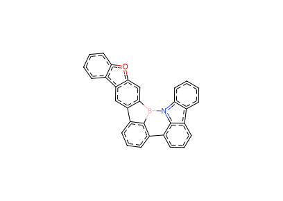 c1cc2c3c(c1)-c1cccc4c5ccccc5n(c14)B3c1cc3oc4ccccc4c3cc1-2